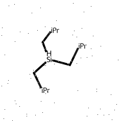 CC(C)C[SiH](CC(C)C)CC(C)C